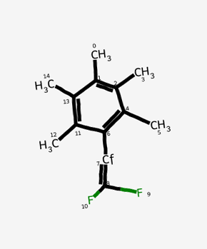 Cc1c(C)c(C)[c]([Cf]=[C](F)F)c(C)c1C